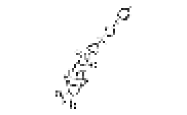 Cc1ccc(C(C)(C)c2ccc(C(C)(C)c3ccc(N4C(=O)c5ccc(C(c6ccc7c(c6)C(=O)N(C)C7=O)(C(F)(F)F)C(F)(F)F)cc5C4=O)cc3)cc2)cc1